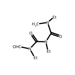 CCN(C)C(=O)N(CC)C(=O)N(C=O)CC